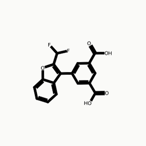 O=C(O)c1cc(C(=O)O)cc(-c2c(C(F)F)oc3ccccc23)c1